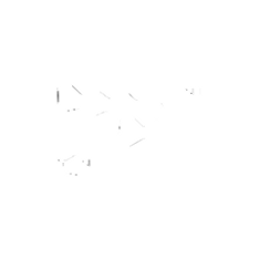 O=C1CC2(CCNCC2)Oc2ccc(CC(Cc3ncc[nH]3)c3cccc4ccccc34)cc21